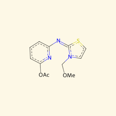 COCn1ccsc1=Nc1cccc(OC(C)=O)n1